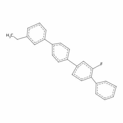 CCc1cccc(-c2ccc(-c3ccc(-c4ccccc4)c(F)c3)cc2)c1